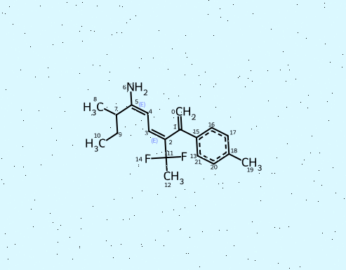 C=C(/C(=C\C=C(\N)C(C)CC)C(C)(F)F)c1ccc(C)cc1